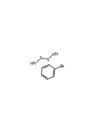 Brc1ccccc1.CCCSSCCC